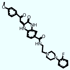 COc1ccc(C(=O)/C=C2/Nc3ccc(C(=O)NCCN4CCN(c5ccccc5F)CC4)cc3NC2=O)cc1